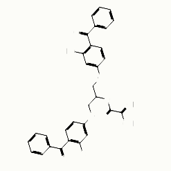 C=C(C)C(=O)OC(COc1ccc(C(=O)c2ccccc2)c(O)c1)COc1ccc(C(=O)c2ccccc2)c(O)c1